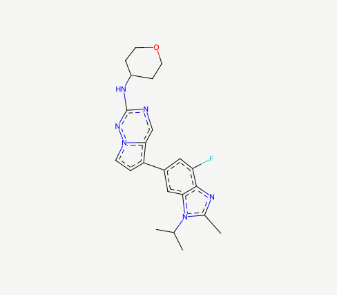 Cc1nc2c(F)cc(-c3ccn4nc(NC5CCOCC5)ncc34)cc2n1C(C)C